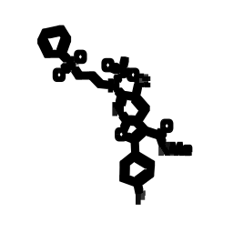 CCc1cc2c(C(=O)NC)c(-c3ccc(F)cc3)oc2nc1N(CCCS(=O)(=O)c1ccccc1)S(C)(=O)=O